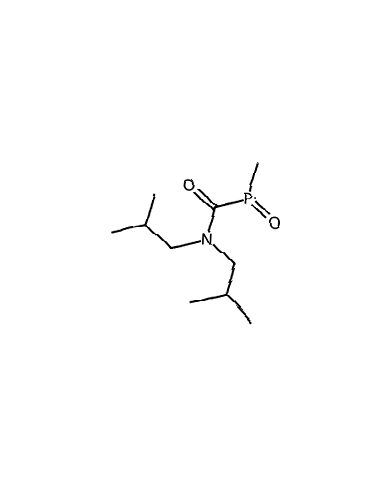 CC(C)CN(CC(C)C)C(=O)[P](C)=O